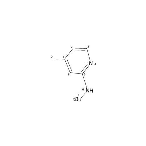 Cc1ccnc(NC(C)(C)C)c1